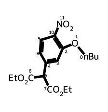 CCCCOc1cc(C(C(=O)OCC)C(=O)OCC)ccc1[N+](=O)[O-]